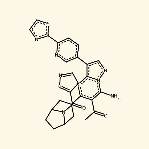 CC(=O)c1c(C2CC3CCC(C2)N3C(=O)C2=NN=CC2)nc2c(-c3ccc(-c4nccs4)nc3)cnn2c1N